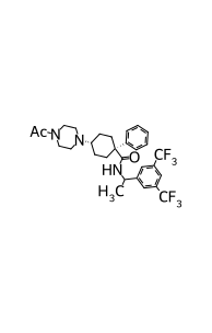 CC(=O)N1CCN([C@H]2CC[C@@](C(=O)NC(C)c3cc(C(F)(F)F)cc(C(F)(F)F)c3)(c3ccccc3)CC2)CC1